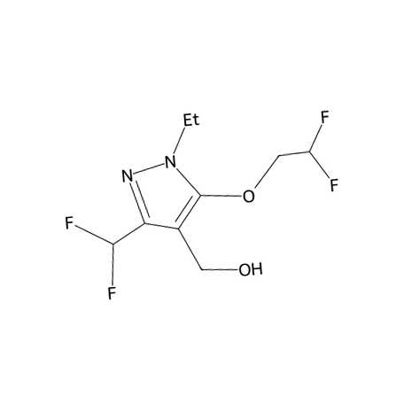 CCn1nc(C(F)F)c(CO)c1OCC(F)F